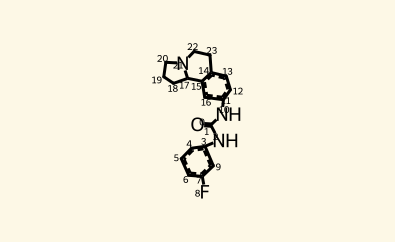 O=C(Nc1cccc(F)c1)Nc1ccc2c(c1)C1CCCN1CC2